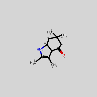 CC1=C(C)C2C(=O)CC(C)(C)CC2N1